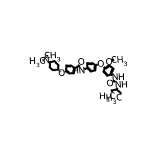 CCC(CC)NC(=O)Nc1ccc(Oc2ccc(NC(=O)c3ccc(O[C@H]4CC[C@@H](N(C)C)CC4)cc3)cc2)c(OC)c1